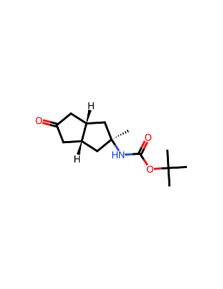 CC(C)(C)OC(=O)N[C@]1(C)C[C@H]2CC(=O)C[C@H]2C1